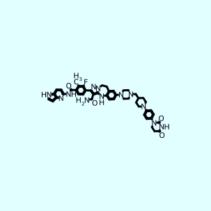 Cc1c(C(=O)Nc2ccc3[nH]ccc3n2)ccc(-c2nn3c(c2C(N)=O)Nc2ccc(N4CCN(CC5CCN(c6ccc(N7CCC(=O)NC7=O)cc6)CC5)CC4)cc2CC3)c1F